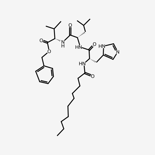 CCCCCCCCCC(=O)N[C@@H](Cc1cnc[nH]1)C(=O)N[C@@H](CC(C)C)C(=O)N[C@H](C(=O)OCc1ccccc1)C(C)C